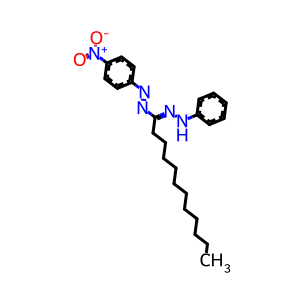 CCCCCCCCCCCC(N=Nc1ccc([N+](=O)[O-])cc1)=NNc1ccccc1